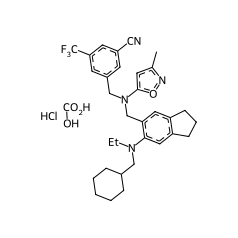 CCN(CC1CCCCC1)c1cc2c(cc1CN(Cc1cc(C#N)cc(C(F)(F)F)c1)c1cc(C)no1)CCC2.Cl.O=C(O)O